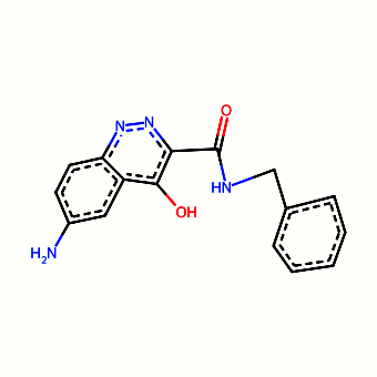 Nc1ccc2nnc(C(=O)NCc3ccccc3)c(O)c2c1